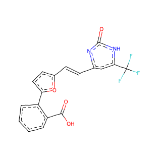 O=C(O)c1ccccc1-c1ccc(C=Cc2cc(C(F)(F)F)[nH]c(=O)n2)o1